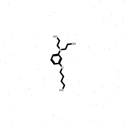 OCCCCOc1cccc(N(CCO)CCO)c1